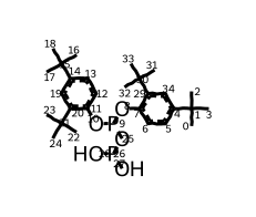 CC(C)(C)c1ccc(OP(Oc2ccc(C(C)(C)C)cc2C(C)(C)C)OP(O)O)c(C(C)(C)C)c1